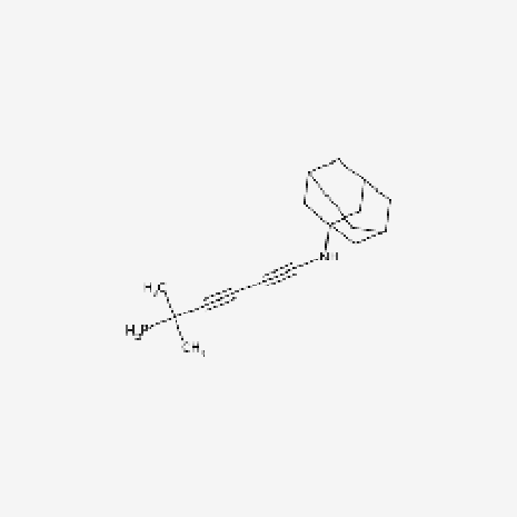 CC(C)(P)C#CC#CNC12CC3CC(CC(C3)C1)C2